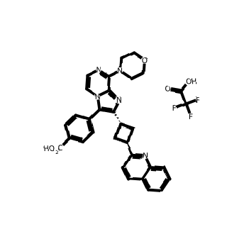 O=C(O)C(F)(F)F.O=C(O)c1ccc(-c2c([C@H]3C[C@H](c4ccc5ccccc5n4)C3)nc3c(N4CCOCC4)nccn23)cc1